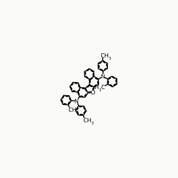 Cc1ccc(N(c2ccccc2C)c2cc3oc4cc(N(c5ccc(C)cc5)c5ccccc5C)c5ccccc5c4c3c3ccccc23)cc1